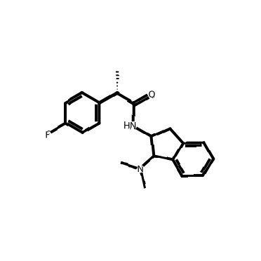 C[C@H](C(=O)NC1Cc2ccccc2C1N(C)C)c1ccc(F)cc1